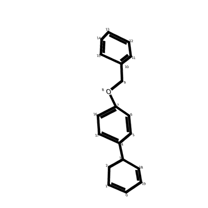 C1=CCC(c2ccc(OCc3ccccc3)cc2)C=C1